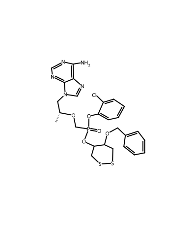 C[C@H](Cn1cnc2c(N)ncnc21)OCP(=O)(Oc1ccccc1Cl)OC1CSSCC1OCc1ccccc1